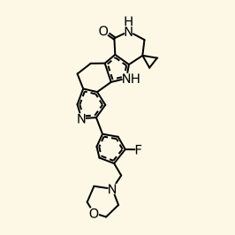 O=C1NCC2(CC2)c2[nH]c3c(c21)CCc1cnc(-c2ccc(CN4CCOCC4)c(F)c2)cc1-3